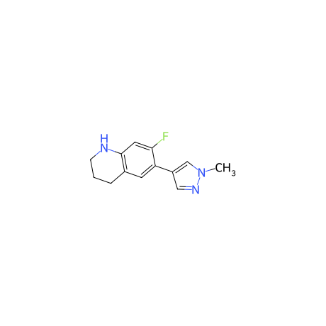 Cn1cc(-c2cc3c(cc2F)NCCC3)cn1